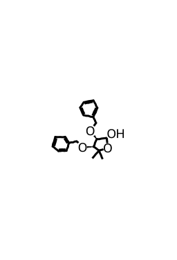 CC1(C)OC(O)[C@H](OCc2ccccc2)[C@@H]1OCc1ccccc1